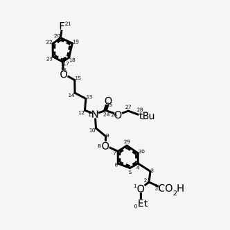 CCOC(Cc1ccc(OCCN(CCCCOc2ccc(F)cc2)C(=O)OCC(C)(C)C)cc1)C(=O)O